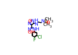 CS(C)(=O)=NCCNc1nonc1/C(=N/O)Nc1ccc(F)c(Cl)c1